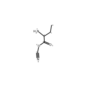 CCC(N)C(=O)OC#N